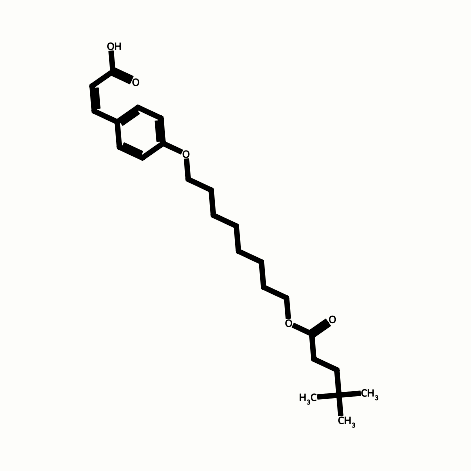 CC(C)(C)CCC(=O)OCCCCCCCCOc1ccc(/C=C\C(=O)O)cc1